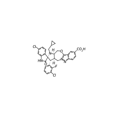 O=C(O)c1ccc2nn3c(c2c1)OC[C@H]1[C@@H](C3)[C@H](c2cccc(Cl)c2F)[C@]2(C(=O)Nc3cc(Cl)ccc32)N1CC1CC1